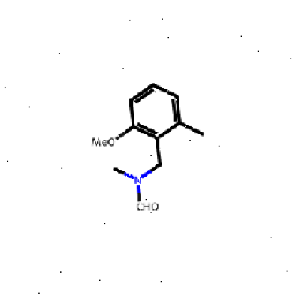 COc1cccc(C)c1CN(C)C=O